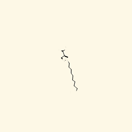 CCCCCCCCCCn1cc(C(=O)OC)cn1